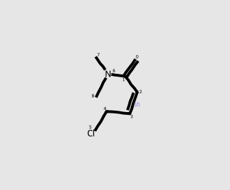 C=C(/C=C\CCl)N(C)C